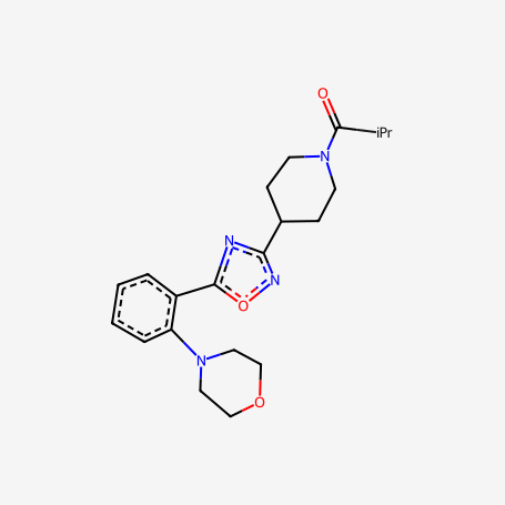 CC(C)C(=O)N1CCC(c2noc(-c3ccccc3N3CCOCC3)n2)CC1